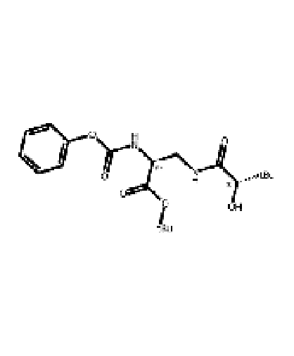 CC(C)(C)OC(=O)[C@H](CNC(=O)[C@@H](O)C(C)(C)C)NC(=O)Oc1ccccc1